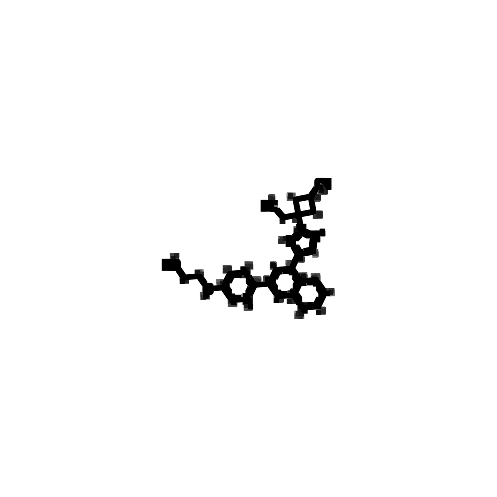 N#CCC1(n2ncc(-c3cc(-c4ncc(OCCO)cn4)cc4ncccc34)n2)CC(C#N)C1